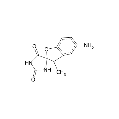 CC1c2cc(N)ccc2OC12NC(=O)NC2=O